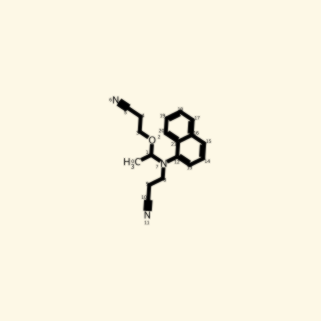 CC(OCCC#N)N(CCC#N)c1cccc2ccccc12